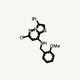 COc1ccccc1CNc1cc(Cl)nn2c(C(C)C)cnc12